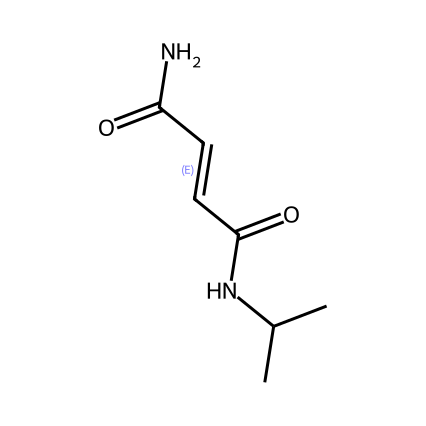 CC(C)NC(=O)/C=C/C(N)=O